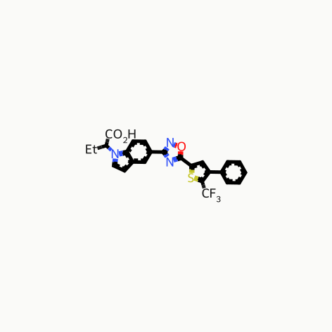 CCC(C(=O)O)n1ccc2cc(-c3noc(-c4cc(-c5ccccc5)c(C(F)(F)F)s4)n3)ccc21